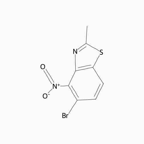 Cc1nc2c([N+](=O)[O-])c(Br)ccc2s1